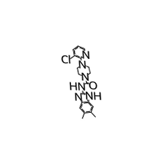 Cc1cc2nc(NC(=O)N3CCN(c4ncccc4Cl)CC3)[nH]c2cc1C